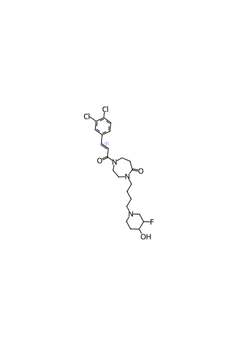 O=C(/C=C/c1ccc(Cl)c(Cl)c1)N1CCC(=O)N(CCCCN2CCC(O)C(F)C2)CC1